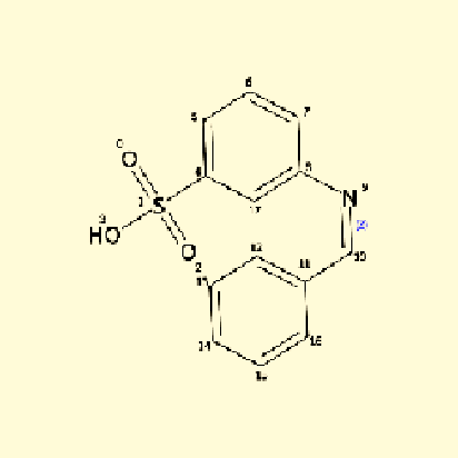 O=S(=O)(O)c1cccc(/N=C\c2ccccc2)c1